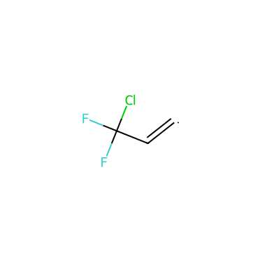 [CH]=CC(F)(F)Cl